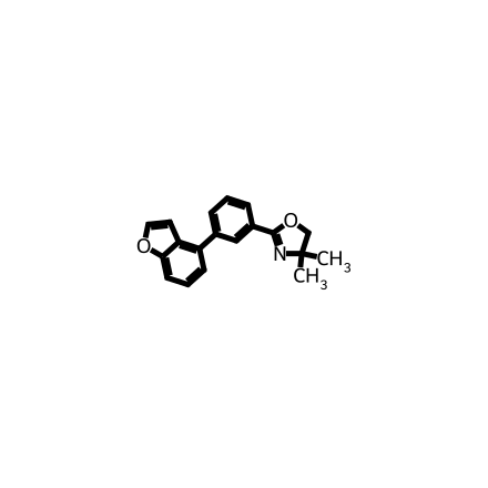 CC1(C)COC(c2cccc(-c3cccc4occc34)c2)=N1